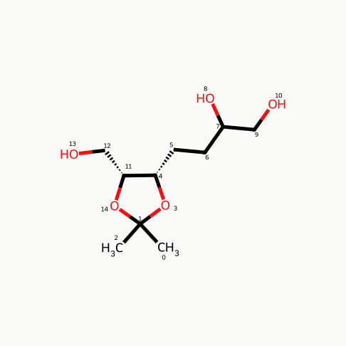 CC1(C)O[C@@H](CCC(O)CO)[C@@H](CO)O1